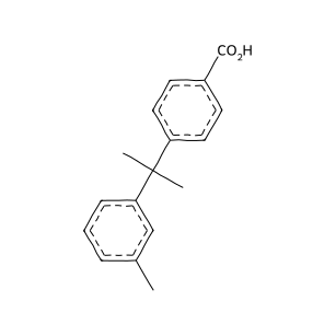 Cc1cccc(C(C)(C)c2ccc(C(=O)O)cc2)c1